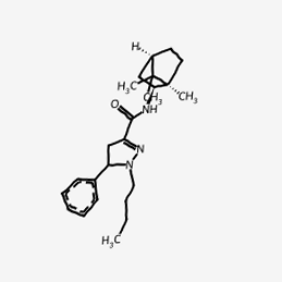 CCCCN1N=C(C(=O)N[C@H]2C[C@H]3CC[C@]2(C)C3(C)C)CC1c1ccccc1